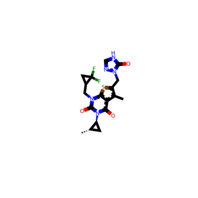 Cc1c(Cn2nc[nH]c2=O)sc2c1c(=O)n([C@H]1C[C@@H]1C)c(=O)n2CC1CC1(F)F